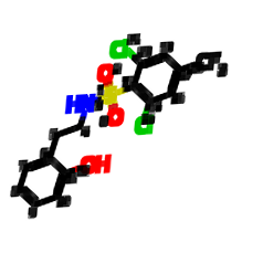 O=S(=O)(NCCc1ccccc1O)c1c(Cl)cc(C(F)(F)F)cc1Cl